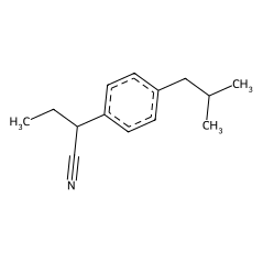 CCC(C#N)c1ccc(CC(C)C)cc1